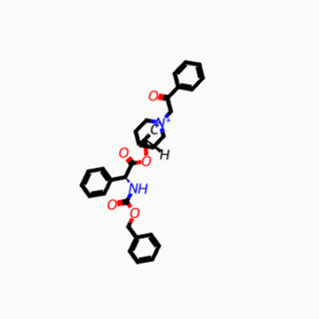 O=C(N[C@@H](C(=O)O[C@H]1C[N+]2(CC(=O)c3ccccc3)CCC1CC2)c1ccccc1)OCc1ccccc1